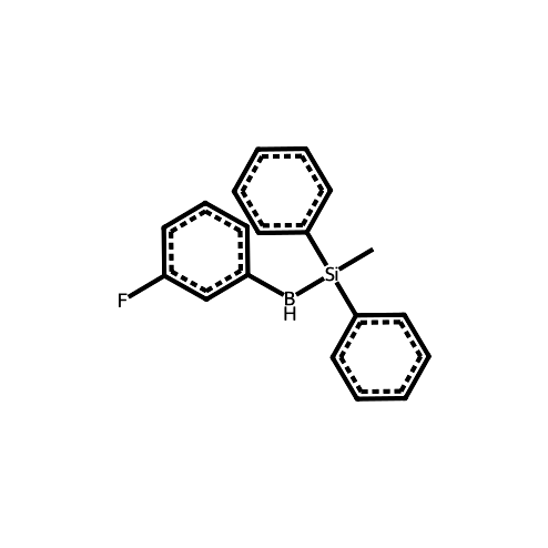 C[Si](Bc1cccc(F)c1)(c1ccccc1)c1ccccc1